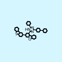 c1ccc(-c2ccc(C3=NC(c4ccccc4)NC(c4cc(-c5ccc6sc7ccccc7c6c5)cc5oc6ccccc6c45)=N3)cc2)cc1